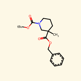 CC(C)(C)OC(=O)N1CCCC(C)(C(=O)OCc2ccccc2)C1